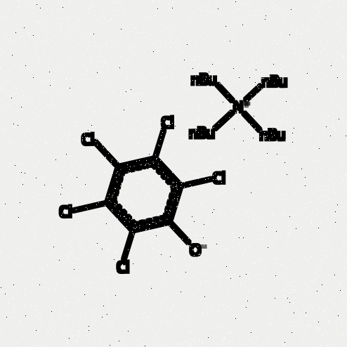 CCCC[N+](CCCC)(CCCC)CCCC.[O-]c1c(Cl)c(Cl)c(Cl)c(Cl)c1Cl